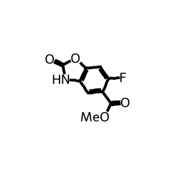 COC(=O)c1cc2[nH]c(=O)oc2cc1F